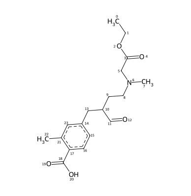 CCOC(=O)CN(C)CCC(C=O)Cc1ccc(C(=O)O)c(C)c1